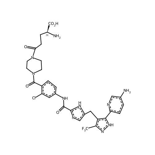 Nc1ccc(-c2[nH]nc(C(F)(F)F)c2Cc2cnc(C(=O)Nc3ccc(C(=O)N4CCN(C(=O)CC[C@H](N)C(=O)O)CC4)c(Cl)c3)[nH]2)nc1